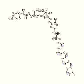 CC/C=C\C/C=C\C/C=C\C/C=C\C/C=C\C/C=C\CCC(=O)NCCCN(CCNC(=O)C(C)(C)Oc1ccc(CCNC(=O)c2ccc(Cl)cc2)cc1)C(C)=O